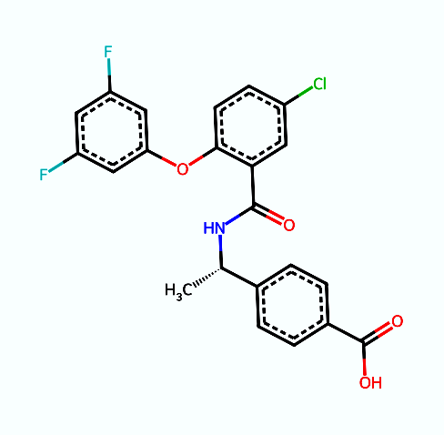 C[C@H](NC(=O)c1cc(Cl)ccc1Oc1cc(F)cc(F)c1)c1ccc(C(=O)O)cc1